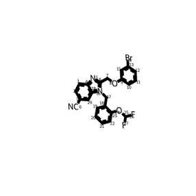 N#Cc1ccc2nc(COc3cccc(Br)c3)n(Cc3ccccc3OC(F)F)c2c1